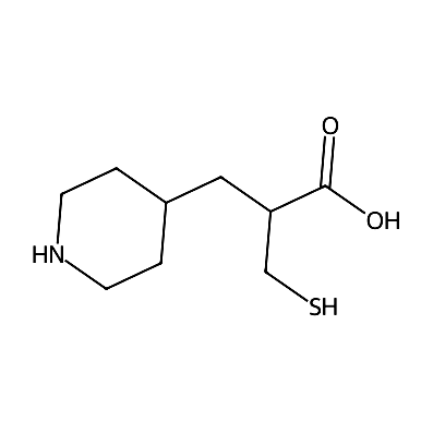 O=C(O)C(CS)CC1CCNCC1